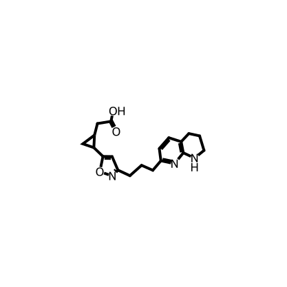 O=C(O)CC1CC1c1cc(CCCc2ccc3c(n2)NCCC3)no1